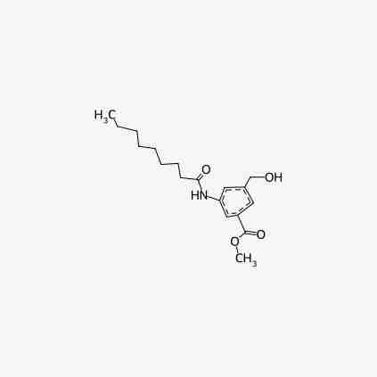 CCCCCCCCC(=O)Nc1cc(CO)cc(C(=O)OC)c1